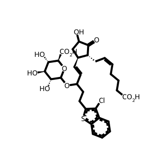 O=C(O)CCC/C=C\C[C@H]1C(=O)C(O)C[C@@H]1/C=C/C(CCc1sc2ccccc2c1Cl)OC1O[C@H](C(=O)O)[C@@H](O)[C@H](O)[C@H]1O